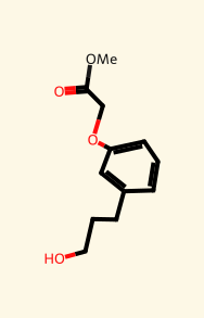 COC(=O)COc1cccc(CCCO)c1